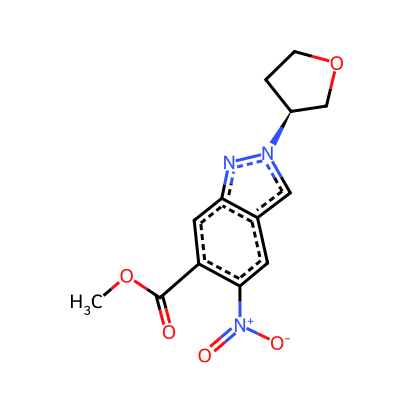 COC(=O)c1cc2nn([C@H]3CCOC3)cc2cc1[N+](=O)[O-]